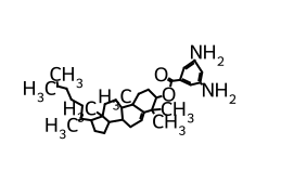 CC(C)CCCC(C)C1CCC2C3CC=C4C(C)(C)C(OC(=O)c5cc(N)cc(N)c5)CCC4(C)C3CCC12C